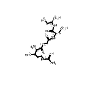 N=C(N)NCCC(C=O)[C@H](N)C(=O)NCC(=O)N[C@@H](CC(=O)O)C(=O)N[C@@H](CO)C(=O)O